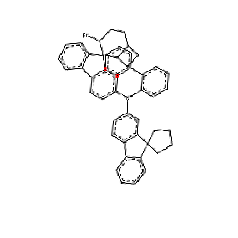 CCC1CCC2CCC2C12c1ccccc1-c1ccc(N(c3ccc4c(c3)C3(CCCC3)c3ccccc3-4)c3ccccc3-c3ccccc3)cc12